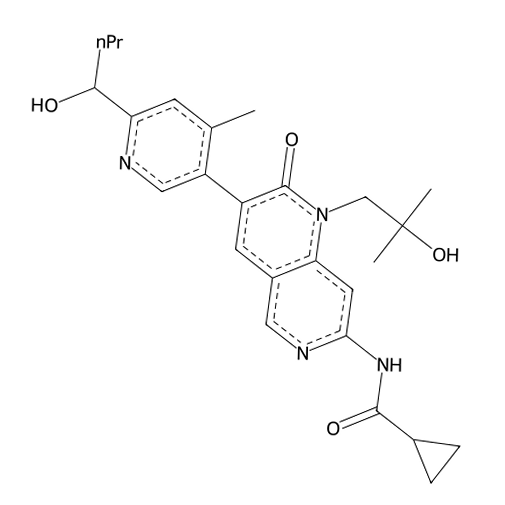 CCCC(O)c1cc(C)c(-c2cc3cnc(NC(=O)C4CC4)cc3n(CC(C)(C)O)c2=O)cn1